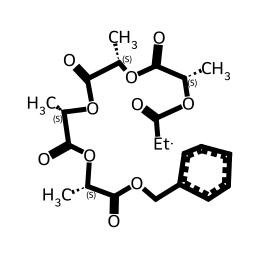 C[CH]C(=O)O[C@@H](C)C(=O)O[C@@H](C)C(=O)O[C@@H](C)C(=O)O[C@@H](C)C(=O)OCc1ccccc1